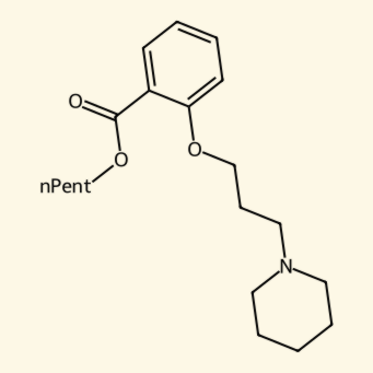 CCCCCOC(=O)c1ccccc1OCCCN1CCCCC1